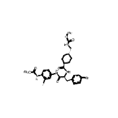 COC(=O)Nc1ccc(NC(=O)[C@H](Cc2ccc(Br)cc2)NC(=O)[C@H]2CC[C@H](CNC(=O)OC(C)(C)C)CC2)cc1F